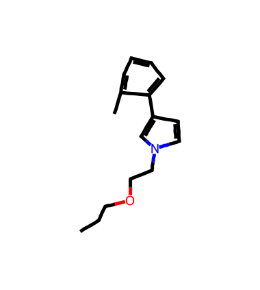 CCCOCCn1ccc(-c2ccccc2C)c1